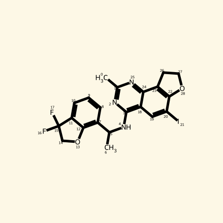 Cc1nc(NC(C)c2cccc3c2OCC3(F)F)c2cc(I)c3c(c2n1)CCO3